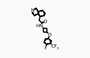 O=C(Cc1cccc2cnccc12)NC1CC(Oc2ccc(F)c(C(F)(F)F)c2)C1